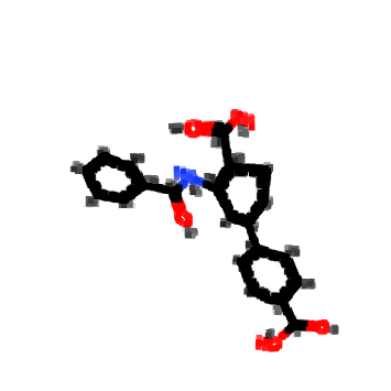 O=C(O)c1ccc(-c2ccc(C(=O)O)c(NC(=O)c3ccccc3)c2)cc1